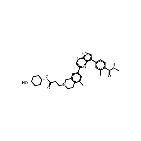 Cc1cc(-c2c[nH]c3ncc(-c4cc(C)c5c(c4)CN(CCC(=O)N[C@H]4CC[C@@H](O)CC4)CC5)nc23)ccc1C(=O)N(C)C